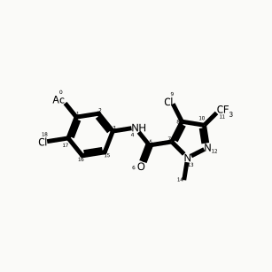 CC(=O)c1cc(NC(=O)c2c(Cl)c(C(F)(F)F)nn2C)ccc1Cl